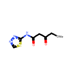 COCC(=O)CC(=O)Nc1nncs1